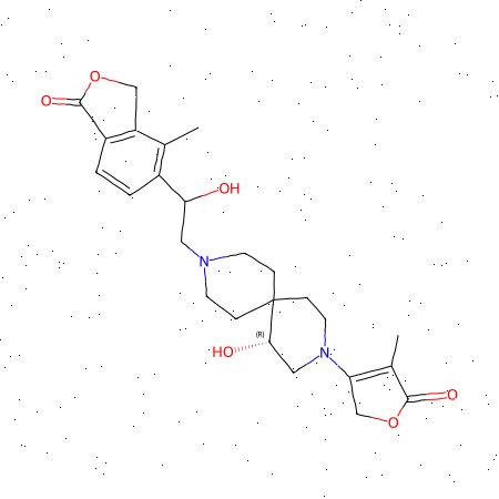 CC1=C(N2CCC3(CCN(CC(O)c4ccc5c(c4C)COC5=O)CC3)[C@@H](O)C2)COC1=O